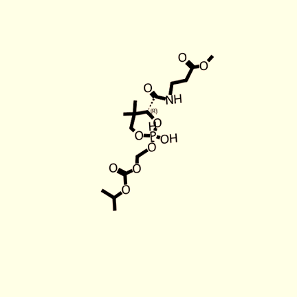 COC(=O)CCNC(=O)[C@@H]1O[PH](O)(OCOC(=O)OC(C)C)OCC1(C)C